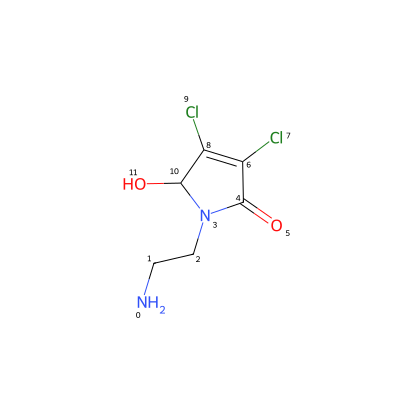 NCCN1C(=O)C(Cl)=C(Cl)C1O